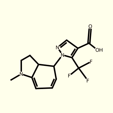 CN1CCC2C1=CC=CC2n1ncc(C(=O)O)c1C(F)(F)F